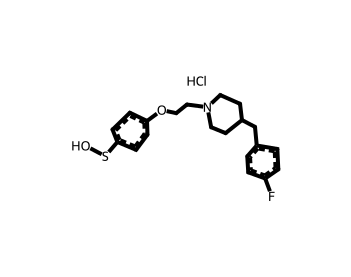 Cl.OSc1ccc(OCCN2CCC(Cc3ccc(F)cc3)CC2)cc1